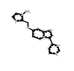 Cn1ccnc1COc1ccn2c(-c3ccncn3)cnc2c1